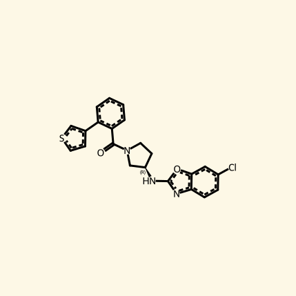 O=C(c1ccccc1-c1ccsc1)N1CC[C@@H](Nc2nc3ccc(Cl)cc3o2)C1